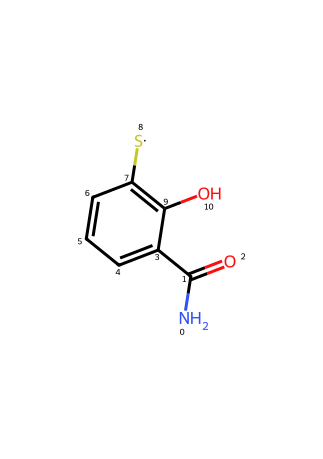 NC(=O)c1cccc([S])c1O